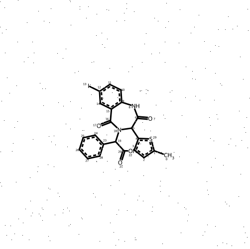 Cc1ccc(C2C(=O)Nc3ccc(I)cc3C(=O)N2C(C(=O)O)c2ccccc2)s1